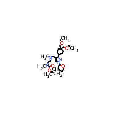 CCOCC1(COCC)CCC(c2nn(C3CCCCO3)cc2CN(C)CCN(C)C(=O)OC(C)(C)C)CC1